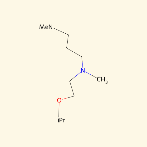 CNCCCN(C)CCOC(C)C